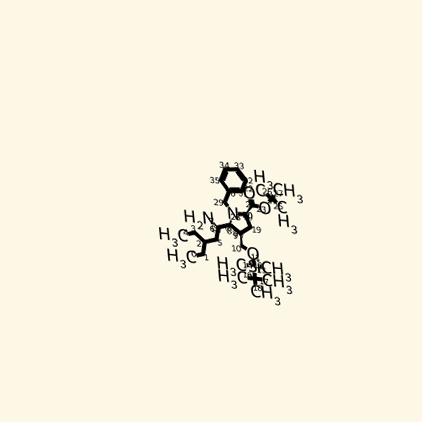 CCC(CC)C[C@H](N)[C@H]1[C@H](CO[Si](C)(C)C(C)(C)C)C[C@H](C(=O)OC(C)(C)C)N1Cc1ccccc1